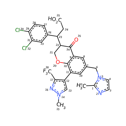 Cc1nccn1Cc1cc2c(c(-c3cn(C)nc3C(F)(F)F)c1)OCC(C(CC(=O)O)c1ccc(Cl)c(Cl)c1)C2=O